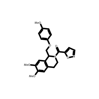 COc1ccc(OCC2c3cc(OC)c(OC)cc3CCN2C(=O)c2ccno2)cc1